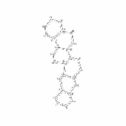 c1ccc2cc3c(ccc4c3ccc3c5ccccc5ccc34)cc2c1